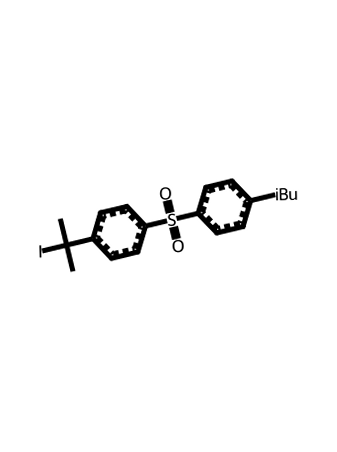 CCC(C)c1ccc(S(=O)(=O)c2ccc(C(C)(C)I)cc2)cc1